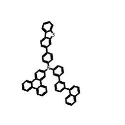 c1cc(-c2cccc(N(c3ccc(-c4ccc5c(c4)sc4ccccc45)cc3)c3ccc4c5ccccc5c5ccccc5c4c3)c2)cc(-c2cccc3ccccc23)c1